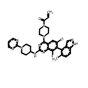 C=CC(=O)N1CCN(c2nc(NC3CCN(c4ncccn4)CC3)nc3c(F)c(-c4c(C)ccc5[nH]ncc45)c(Cl)cc23)CC1